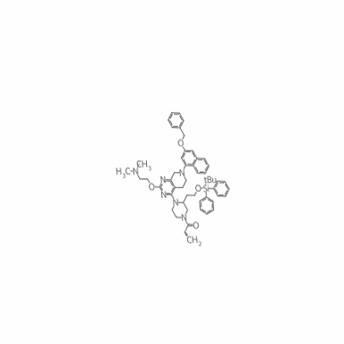 C=CC(=O)N1CCN(c2nc(OCCN(C)C)nc3c2CCN(c2cc(OCc4ccccc4)cc4ccccc24)C3)C(CCO[Si](c2ccccc2)(c2ccccc2)C(C)(C)C)C1